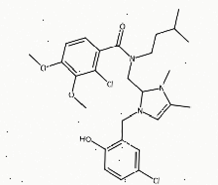 COc1ccc(C(=O)N(CCC(C)C)CC2N(Cc3cc(Cl)ccc3O)C=C(C)N2C)c(Cl)c1OC